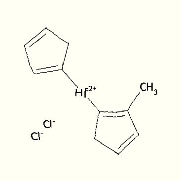 CC1=[C]([Hf+2][C]2=CC=CC2)CC=C1.[Cl-].[Cl-]